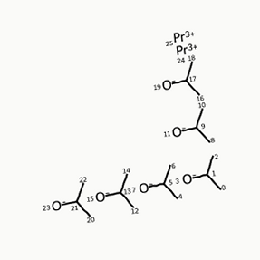 CC(C)[O-].CC(C)[O-].CC(C)[O-].CC(C)[O-].CC(C)[O-].CC(C)[O-].[Pr+3].[Pr+3]